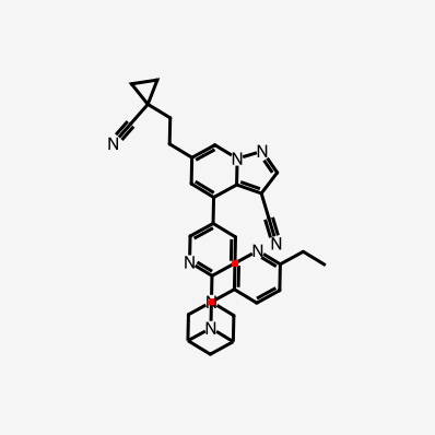 CCc1ccc(CN2C3CC2CN(c2ccc(-c4cc(CCC5(C#N)CC5)cn5ncc(C#N)c45)cn2)C3)cn1